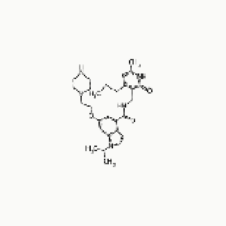 CCCc1cc(C)[nH]c(=O)c1CNC(=O)c1cc(OCCN2CCNCC2)cc2c1ccn2C(C)C